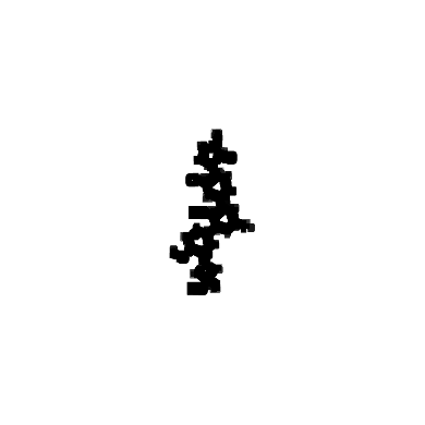 COc1ncc(-c2cc(F)cc(-c3ccc(-n4ccn(C)c4=O)c(Cl)c3)c2O)cc1N1CC(C)(O)C1